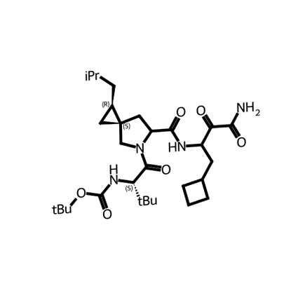 CC(C)C[C@@H]1C[C@]12CC(C(=O)NC(CC1CCC1)C(=O)C(N)=O)N(C(=O)[C@@H](NC(=O)OC(C)(C)C)C(C)(C)C)C2